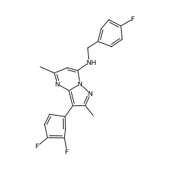 Cc1cc(NCc2ccc(F)cc2)n2nc(C)c(-c3ccc(F)c(F)c3)c2n1